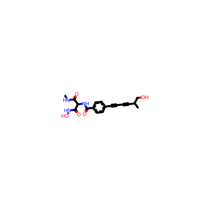 CNC(=O)C(NC(=O)c1ccc(C#CC#CC(C)CO)cc1)C(=O)NO